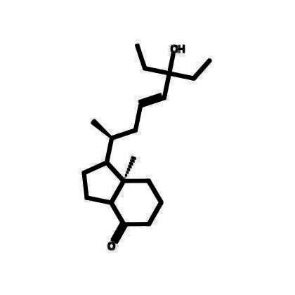 CCC(O)(/C=C/C[C@H](C)C1CCC2C(=O)CCC[C@@]21C)CC